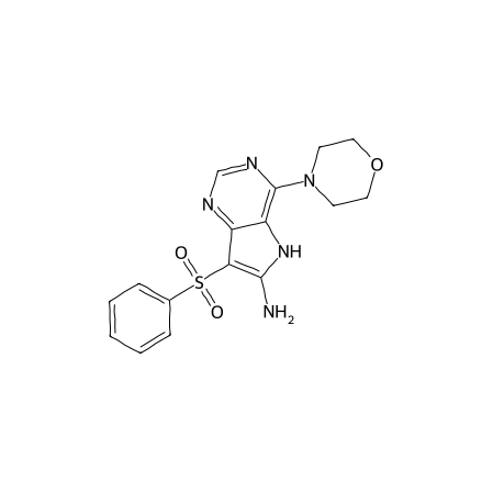 Nc1[nH]c2c(N3CCOCC3)ncnc2c1S(=O)(=O)c1ccccc1